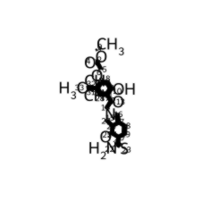 CCOC(=O)COc1cc(O)c(C(=O)CN2C=C3C=CC(C(N)=S)C(=O)C3C2)cc1C(C)(C)C